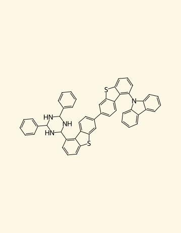 c1ccc(C2NC(c3ccccc3)NC(c3cccc4sc5cc(-c6ccc7c(c6)sc6cccc(-n8c9ccccc9c9ccccc98)c67)ccc5c34)N2)cc1